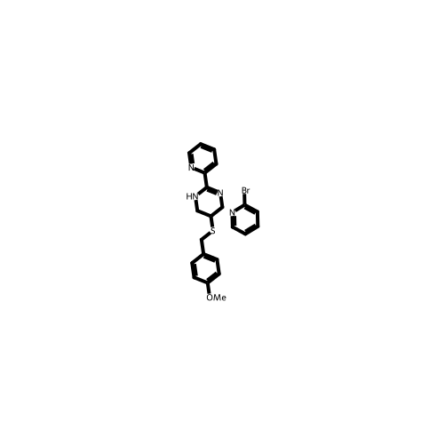 Brc1ccccn1.COc1ccc(CSC2CN=C(c3ccccn3)NC2)cc1